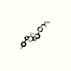 CCc1nc2ccc(N3CCN(CC(=O)NC)CC3)nn2c1N(C)c1nc(-c2ccc(F)cc2)cs1